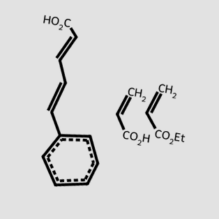 C=CC(=O)O.C=CC(=O)OCC.O=C(O)C=CC=Cc1ccccc1